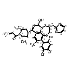 C=CC(=O)N1[C@H](C)CN(C2=NC(O)N3C[C@H](Oc4ncccn4)CSc4c(-c5cc(Cl)c(F)cc5F)c(C(F)(F)F)cc2c43)C[C@@H]1C